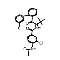 CC(=O)Nc1ccc(C(=O)NN(C(=O)c2ccccc2-c2cccc(Cl)c2)C(C)(C)C)cc1Cl